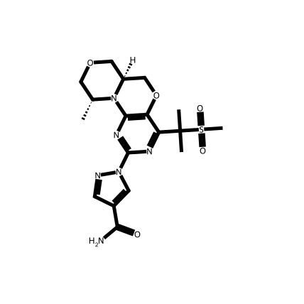 C[C@@H]1COC[C@H]2COc3c(nc(-n4cc(C(N)=O)cn4)nc3C(C)(C)S(C)(=O)=O)N21